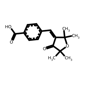 CC1(C)OC(C)(C)C(=Cc2ccc(C(=O)O)cc2)C1=O